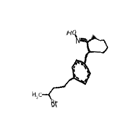 CC(Br)CCc1ccc(C2CCCCC2=NO)cc1